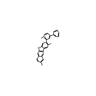 Cc1ccc2cc3oc4cc(-c5cc(-c6ccccc6)cc[n+]5C)c(C)cc4c3cc2c1